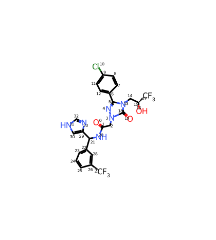 O=C(Cn1nc(-c2ccc(Cl)cc2)n(C[C@H](O)C(F)(F)F)c1=O)NC(c1cccc(C(F)(F)F)c1)c1c[nH]cn1